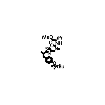 COC(=O)[C@@H](NC(=O)N(C)Cc1csc(C(C)Cc2ccc(O[Si](C)(C)C(C)(C)C)cc2)n1)C(C)C